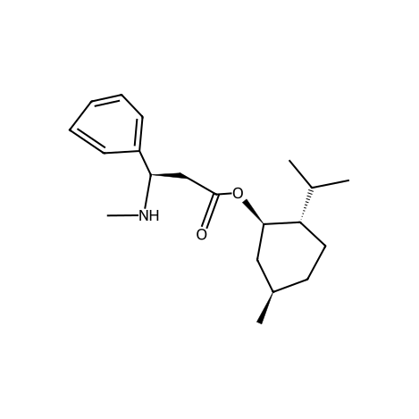 CN[C@H](CC(=O)O[C@@H]1C[C@H](C)CC[C@H]1C(C)C)c1ccccc1